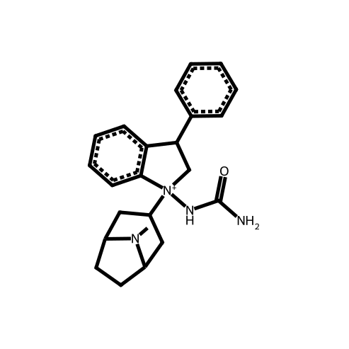 CN1C2CCC1CC([N+]1(NC(N)=O)CC(c3ccccc3)c3ccccc31)C2